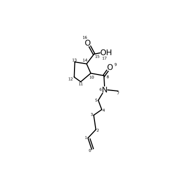 C=CCCCCN(C)C(=O)C1CCCC1C(=O)O